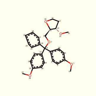 COc1ccc(C(OC[C@H]2OCC[C@@H]2OC)(c2ccccc2)c2ccc(OC)cc2)cc1